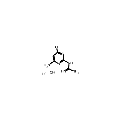 Cl.Cl.N=C(N)Nc1nc(N)cc(Cl)n1